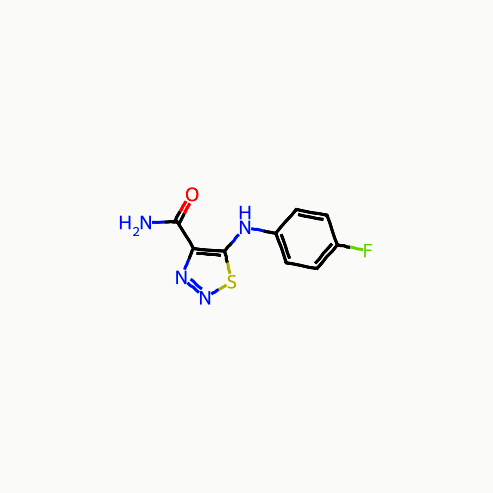 NC(=O)c1nnsc1Nc1ccc(F)cc1